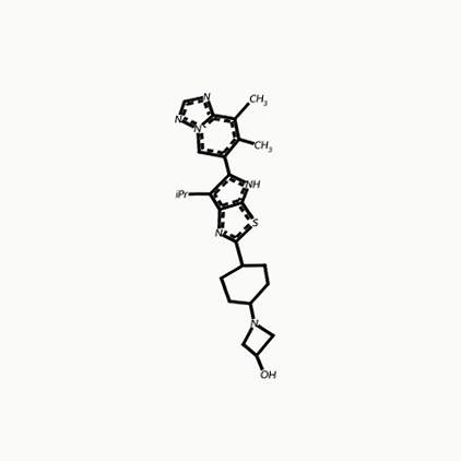 Cc1c(-c2[nH]c3sc(C4CCC(N5CC(O)C5)CC4)nc3c2C(C)C)cn2ncnc2c1C